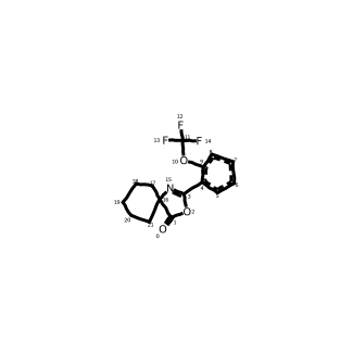 O=C1OC(c2ccccc2OC(F)(F)F)=NC12CCCCC2